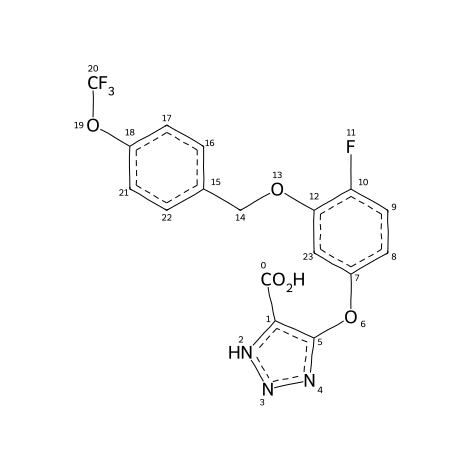 O=C(O)c1[nH]nnc1Oc1ccc(F)c(OCc2ccc(OC(F)(F)F)cc2)c1